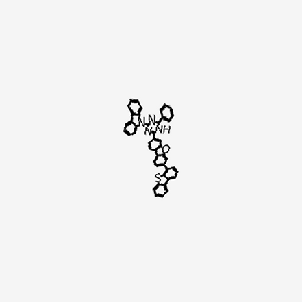 c1ccc(C2N=C(n3c4ccccc4c4ccccc43)N=C(c3ccc4c(c3)oc3cc(-c5cccc6c5sc5ccccc56)ccc34)N2)cc1